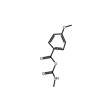 CNC(=O)OC(=O)c1ccc(OC)cc1